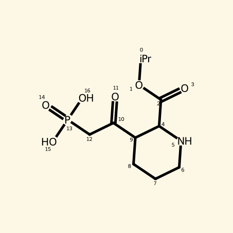 CC(C)OC(=O)C1NCCCC1C(=O)CP(=O)(O)O